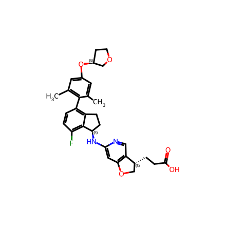 Cc1cc(O[C@H]2CCOC2)cc(C)c1-c1ccc(F)c2c1CC[C@H]2Nc1cc2c(cn1)[C@H](CCC(=O)O)CO2